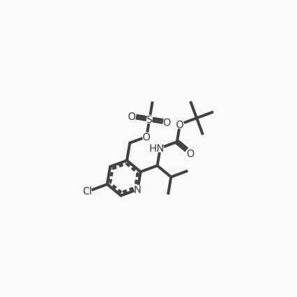 CC(C)C(NC(=O)OC(C)(C)C)c1ncc(Cl)cc1COS(C)(=O)=O